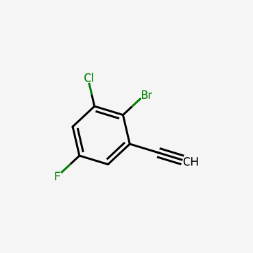 C#Cc1cc(F)cc(Cl)c1Br